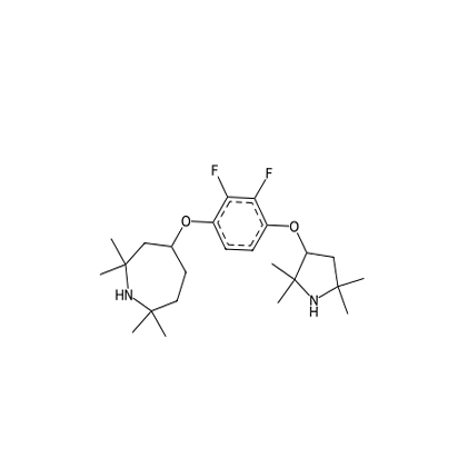 CC1(C)CCC(Oc2ccc(OC3CC(C)(C)NC3(C)C)c(F)c2F)CC(C)(C)N1